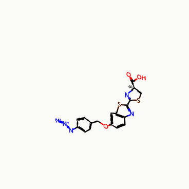 [N-]=[N+]=Nc1ccc(COc2ccc3nc(C4=N[C@@H](C(=O)O)CS4)sc3c2)cc1